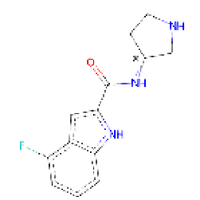 O=C(N[C@@H]1CCNC1)c1cc2c(F)cccc2[nH]1